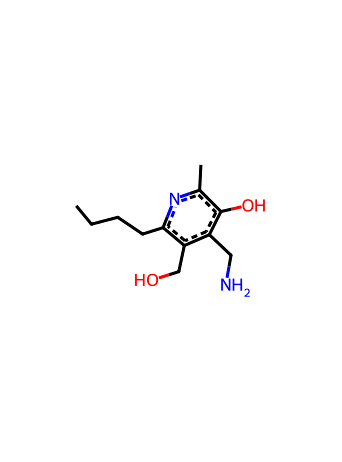 CCCCc1nc(C)c(O)c(CN)c1CO